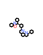 c1ccc(-c2ccc3ccc4ccc(-c5cccc(-c6c7ccccc7n7c6oc6ccccc67)c5)nc4c3n2)cc1